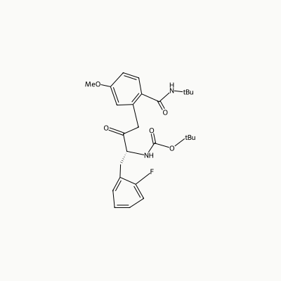 COc1ccc(C(=O)NC(C)(C)C)c(CC(=O)[C@@H](Cc2ccccc2F)NC(=O)OC(C)(C)C)c1